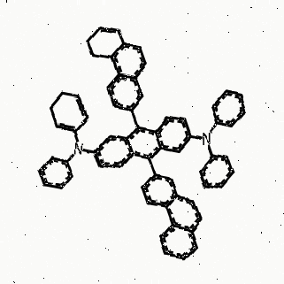 C1=CC(N(c2ccccc2)c2ccc3c(-c4ccc5c(ccc6ccccc65)c4)c4cc(N(c5ccccc5)c5ccccc5)ccc4c(-c4ccc5c6c(ccc5c4)C=CCC6)c3c2)=CCC1